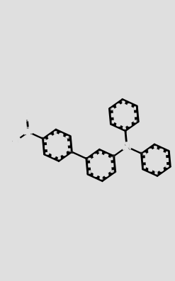 OB(O)c1ccc(-c2cccc(N(c3ccccc3)c3ccccc3)c2)cc1